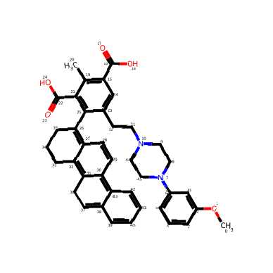 COc1cccc(N2CCN(CCc3cc(C(=O)O)c(C)c(C(=O)O)c3C3=c4ccc5c(c4CCC3)CC=c3ccccc3=5)CC2)c1